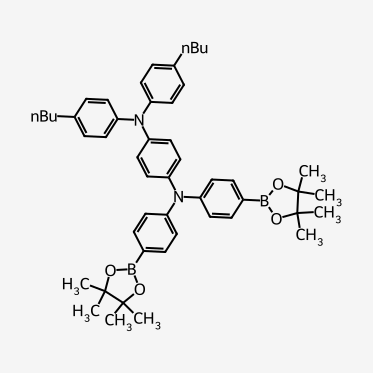 CCCCc1ccc(N(c2ccc(CCCC)cc2)c2ccc(N(c3ccc(B4OC(C)(C)C(C)(C)O4)cc3)c3ccc(B4OC(C)(C)C(C)(C)O4)cc3)cc2)cc1